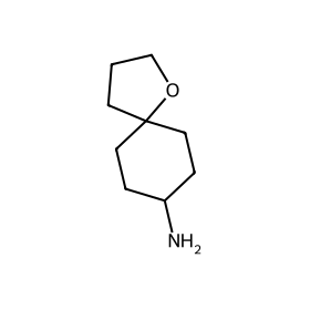 NC1CCC2(CCCO2)CC1